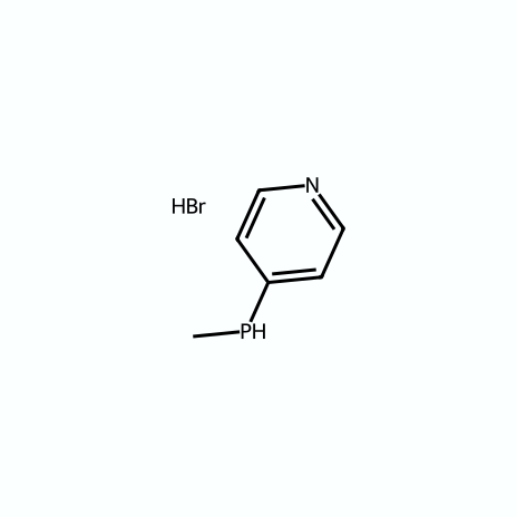 Br.CPc1ccncc1